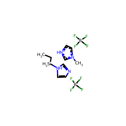 CC[SiH2][NH+]1C=CN=C1.Cn1cc[nH+]c1.F[B-](F)(F)F.F[B-](F)(F)F